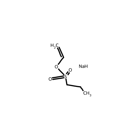 C=COS(=O)(=O)CCC.[NaH]